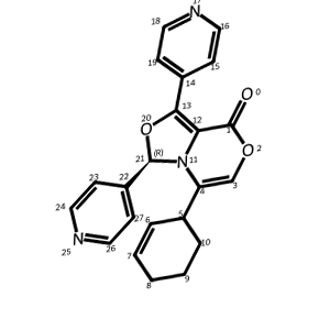 O=C1OC=C(C2C=CCCC2)N2C1=C(c1ccncc1)O[C@@H]2c1ccncc1